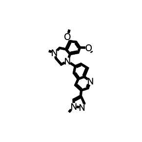 COc1cc(OC)c2c(c1)N(c1ccc3ncc(-c4cnn(C)c4)cc3c1)CCN(C)C2